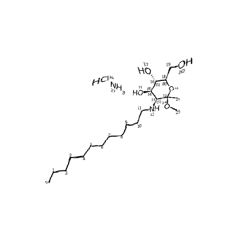 CCCCCCCCCCCCN[C@H]1[C@@H](O)[C@H](O)[C@@H](CO)OC1(C)OC.Cl.N